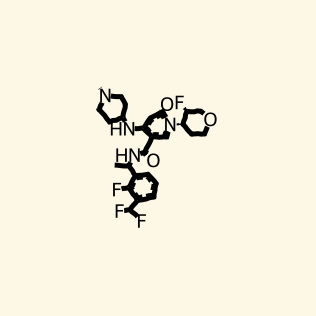 CC(NC(=O)c1cn([C@H]2CCOC[C@@H]2F)c(=O)cc1NC1CCN(C)CC1)c1cccc(C(F)F)c1F